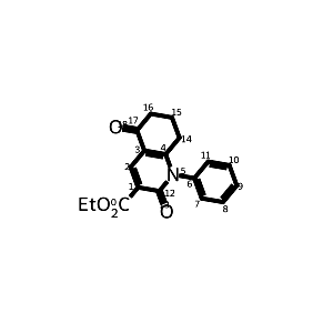 CCOC(=O)c1cc2c(n(-c3ccccc3)c1=O)CCCC2=O